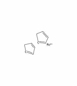 [C-]1=CC=CC1.[C-]1=CC=CC1.[Ru+2]